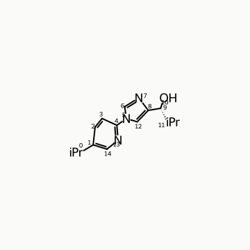 CC(C)c1ccc(-n2cnc([C@H](O)C(C)C)c2)nc1